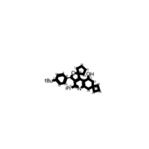 CC(C)c1nc2c(c3c1[C@@H](c1ccc(C(C)(C)C)cc1)OC31CCCC1)C(O)CC1(CCC1)C2